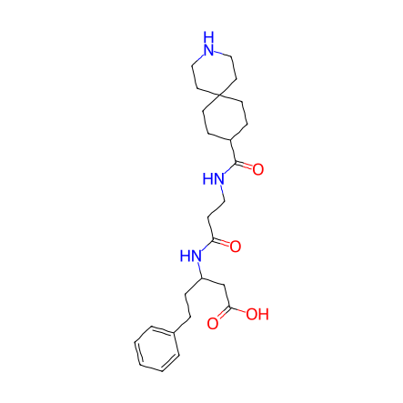 O=C(O)CC(CCc1ccccc1)NC(=O)CCNC(=O)C1CCC2(CCNCC2)CC1